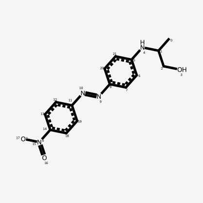 CC(CO)Nc1ccc(N=Nc2ccc([N+](=O)[O-])cc2)cc1